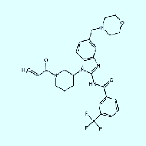 C=CC(=O)N1CCCC(n2c(NC(=O)c3cccc(C(F)(F)F)c3)nc3cc(CN4CCOCC4)ccc32)C1